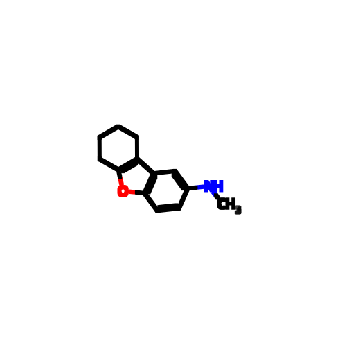 CNc1ccc2oc3c(c2c1)CCCC3